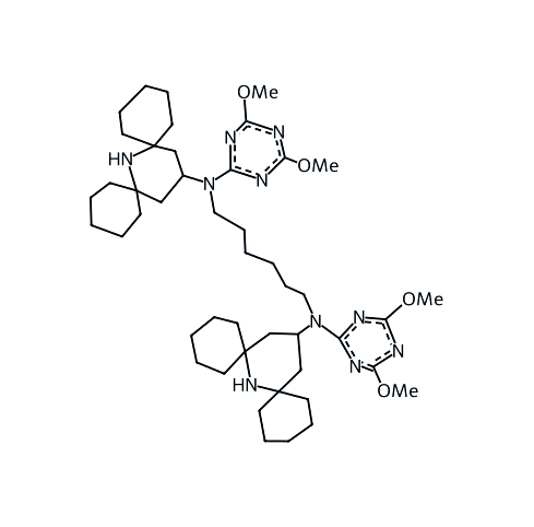 COc1nc(OC)nc(N(CCCCCCN(c2nc(OC)nc(OC)n2)C2CC3(CCCCC3)NC3(CCCCC3)C2)C2CC3(CCCCC3)NC3(CCCCC3)C2)n1